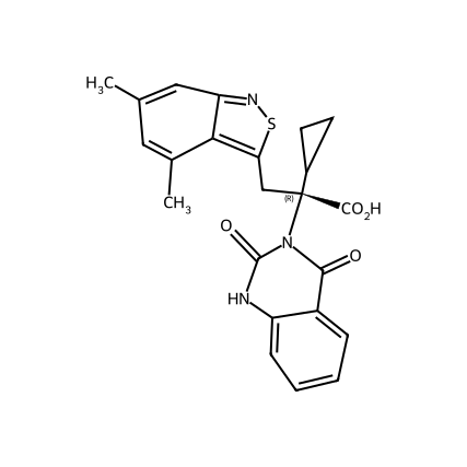 Cc1cc(C)c2c(C[C@](C(=O)O)(C3CC3)n3c(=O)[nH]c4ccccc4c3=O)snc2c1